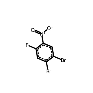 O=[N+]([O-])c1cc(Br)c(Br)cc1F